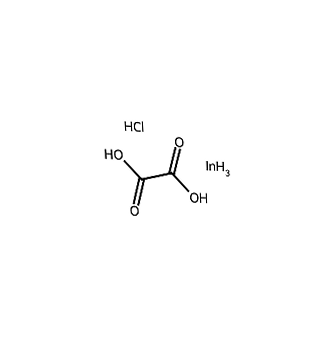 Cl.O=C(O)C(=O)O.[InH3]